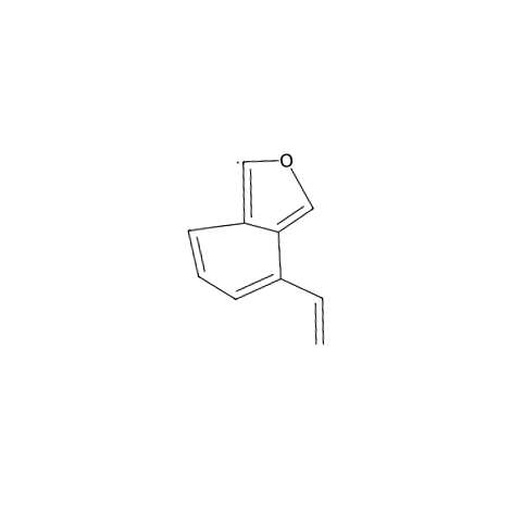 C=Cc1cccc2[c]occ12